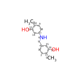 Cc1ccc(CNc2ccc(C)c(O)c2)cc1O